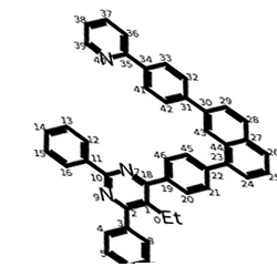 CCc1c(-c2ccccc2)nc(-c2ccccc2)nc1-c1ccc(-c2cccc3ccc(-c4ccc(-c5ccccn5)cc4)cc23)cc1